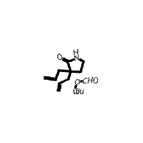 C=CCC1(CC=C)CCNC1=O.CC(C)(C)OC=O